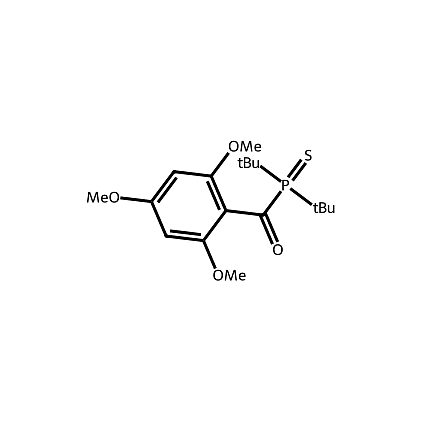 COc1cc(OC)c(C(=O)P(=S)(C(C)(C)C)C(C)(C)C)c(OC)c1